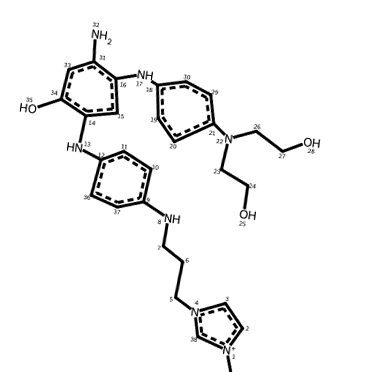 C[n+]1ccn(CCCNc2ccc(Nc3cc(Nc4ccc(N(CCO)CCO)cc4)c(N)cc3O)cc2)c1